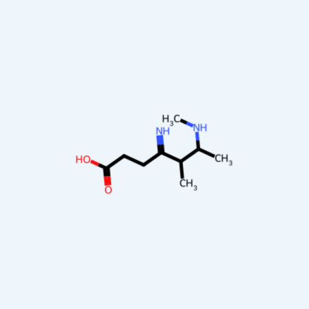 CNC(C)C(C)C(=N)CCC(=O)O